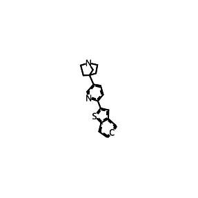 c1ccc2sc(-c3ccc(C45CCN(CC4)C5)cn3)cc2c1